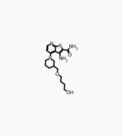 NC(=O)c1sc2nccc(N3CCCC(COCCCCO)C3)c2c1N